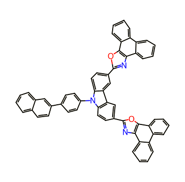 c1ccc2cc(-c3ccc(-n4c5ccc(-c6nc7c8ccccc8c8ccccc8c7o6)cc5c5cc(-c6nc7c8ccccc8c8ccccc8c7o6)ccc54)cc3)ccc2c1